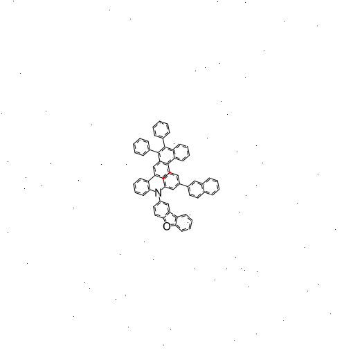 c1ccc(-c2c(-c3ccccc3)c3cc(-c4ccccc4N(c4cccc(-c5ccc6ccccc6c5)c4)c4ccc5oc6ccccc6c5c4)ccc3c3ccccc23)cc1